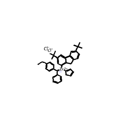 CCc1ccc(/[C](c2ccccc2)=[Zr+2](/[C]2=CC=CC2)[c]2cc(C(C)(C)C)cc3c2Cc2ccc(C(C)(C)C)cc2-3)cc1.[Cl-].[Cl-]